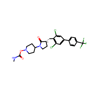 CNC(=O)ON1CCC(N2CC[C@@H](Cc3c(Cl)cc(-c4ccc(C(F)(F)F)cc4)cc3Cl)C2=O)CC1